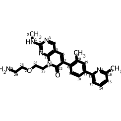 CNc1ncc2cc(-c3ccc(-c4cccc(C)n4)cc3C)c(=O)n(CCOCCN)c2n1